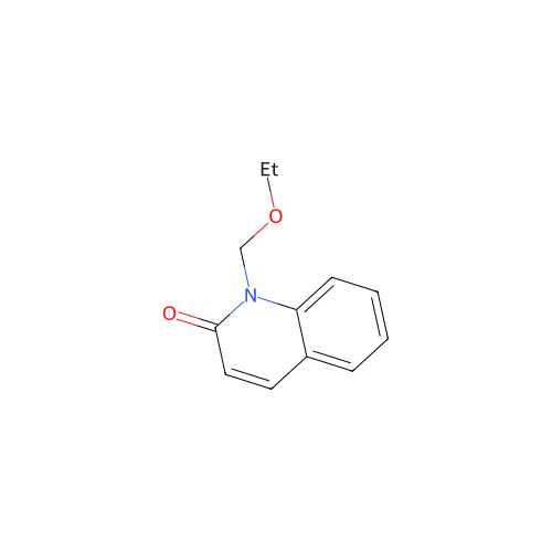 CCOCn1c(=O)ccc2ccccc21